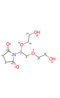 O=C1CCC(=O)N1C(COCCO)OCCO